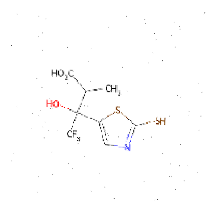 CC(C(=O)O)C(O)(c1cnc(S)s1)C(F)(F)F